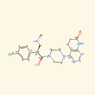 CC(C)NC[C@@H](C(=O)N1CCN(c2ncnc3c2CCC(=O)N3)CC1)c1ccc(Cl)cc1